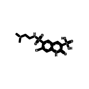 CN(C)CCNS(=O)(=O)c1cc2cc(P(=O)(O)O)c(=O)[nH]c2cc1Cl